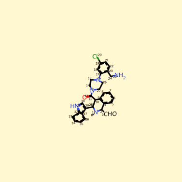 CN1C(C=O)c2ccccc2C(C(=O)N2CCN(c3cc(Cl)ccc3CN)CC2)C1c1c[nH]c2ccccc12